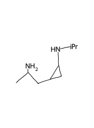 CC(N)CC1CC1NC(C)C